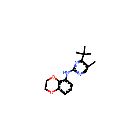 Cc1cnc(Nc2cccc3c2OCCO3)nc1C(C)(C)C